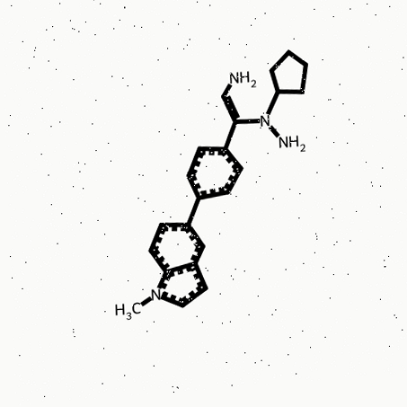 Cn1ccc2cc(-c3ccc(/C(=C/N)N(N)C4CCCC4)cc3)ccc21